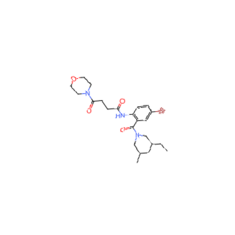 CCC1CC(C)CN(C(=O)c2cc(Br)ccc2NC(=O)CCC(=O)N2CCOCC2)C1